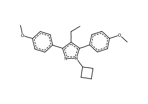 CCc1c(-c2ccc(OC)cc2)nn(C2CCC2)c1-c1ccc(OC)cc1